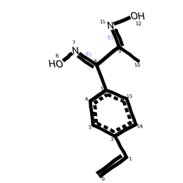 C=Cc1ccc(C(=N\O)/C(C)=N/O)cc1